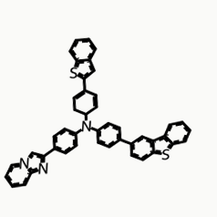 C1=CC(N(c2ccc(-c3ccc4sc5ccccc5c4c3)cc2)c2ccc(-c3cn4ccccc4n3)cc2)CC=C1c1cc2ccccc2s1